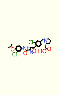 CC(C)Oc1ccc(NC(=O)c2cc(-c3ccc(CN4CCC[C@H]4CC(=O)O)cc3Cl)on2)cc1Cl